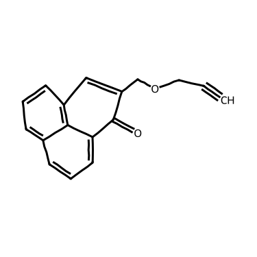 C#CCOCC1=Cc2cccc3cccc(c23)C1=O